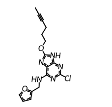 CC#CCCCOc1nc2c(NCc3ccco3)nc(Cl)nc2[nH]1